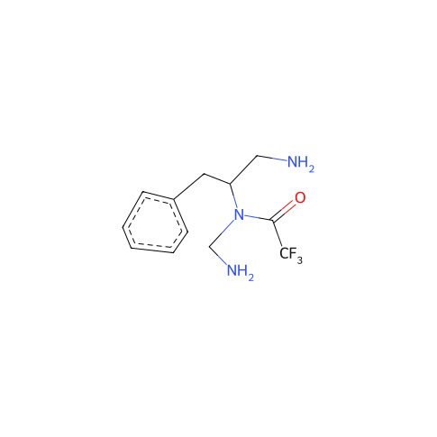 NCC(Cc1ccccc1)N(CN)C(=O)C(F)(F)F